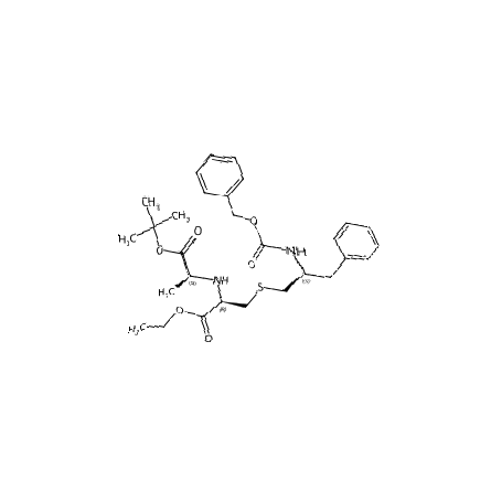 CCOC(=O)[C@H](CSC[C@H](Cc1ccccc1)NC(=O)OCc1ccccc1)N[C@@H](C)C(=O)OC(C)(C)C